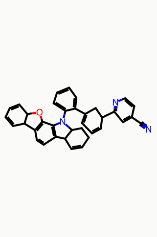 N#Cc1ccnc(C2C=CC=C(c3ccccc3N3c4c(ccc5c4OC4C=CC=CC54)C4C=CCCC43)C2)c1